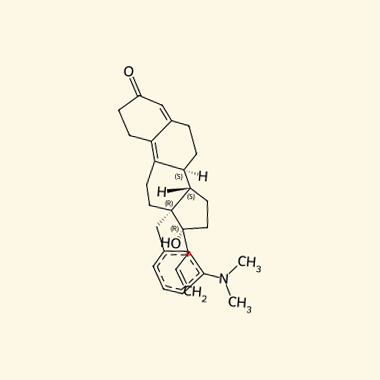 C=CC[C@]1(O)CC[C@H]2[C@@H]3CCC4=CC(=O)CCC4=C3CC[C@@]21Cc1cccc(N(C)C)c1